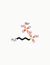 CCCCCS(=O)(=O)O.O=P([O-])(O)O.[Na+]